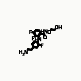 NCCc1ccc(Nc2c(C(=O)NOCCO)ccc(F)c2F)c(F)c1